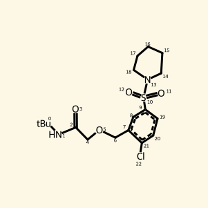 CC(C)(C)NC(=O)COCc1cc(S(=O)(=O)N2CCCCC2)ccc1Cl